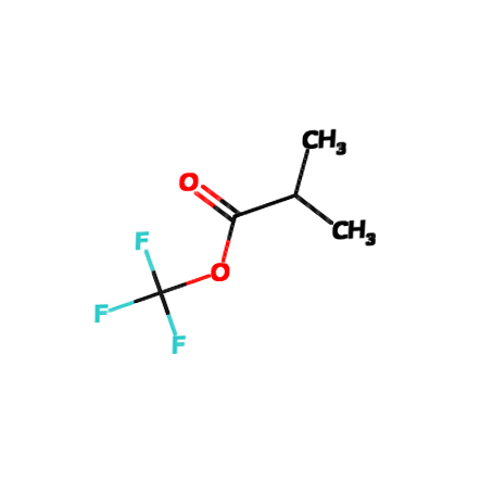 CC(C)C(=O)OC(F)(F)F